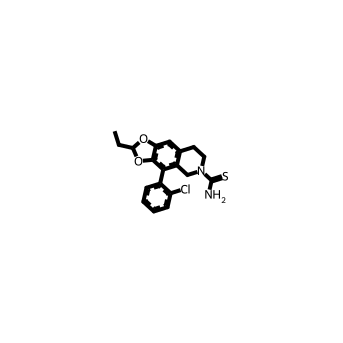 CCC1Oc2cc3c(c(-c4ccccc4Cl)c2O1)CN(C(N)=S)CC3